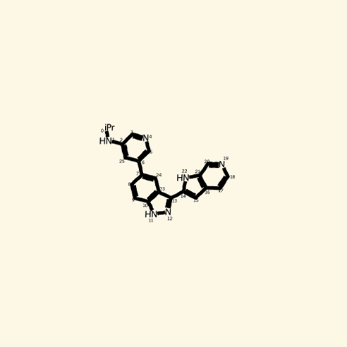 CC(C)Nc1cncc(-c2ccc3[nH]nc(-c4cc5ccncc5[nH]4)c3c2)c1